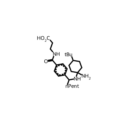 CCCCCC(NC1(N)CCC(C(C)(C)C)CC1)c1ccc(C(=O)NCCC(=O)O)cc1